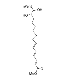 CCCCCC(O)C(O)CCCCCC/C=C/C=C/C=C/C(=O)OC